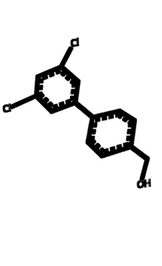 OCc1ccc(-c2cc(Cl)cc(Cl)c2)cc1